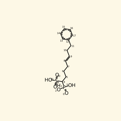 O=P(O)(O)C(CCCC=CCCc1ccccc1)S(=O)(=O)O